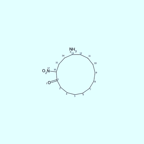 N.O=C1CCCCCCCCCCCCCC1[N+](=O)[O-]